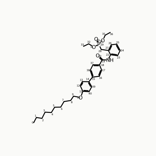 CCCCCCCCCCOc1ccc(-c2ccc(C(=O)Nc3ccccc3CP(=O)(OCC)OCC)cc2)cc1